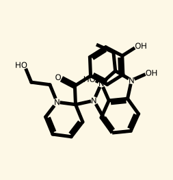 CCC1N(O)c2ccc3cc2[N+]1(O)N3C1(C(=O)c2ccc(O)cc2)C=CC=CN1CCO